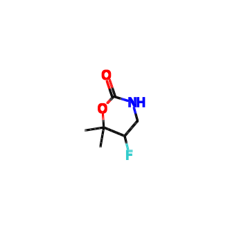 CC1(C)OC(=O)NCC1F